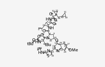 C=CC1CC1(NC(=O)C1CC(Oc2cc(-c3csc(NC(C)C)n3)nc3cc(OC)ccc23)CN1C(=O)C(NC(=O)OC(C)(C)C)C(C)(C)C)C(=O)NS(=O)(=O)C1(CC2CC2)CC1